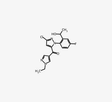 CCn1cc(C(=O)c2cc(Cl)nn2-c2ccc(F)cc2C(C)O)cn1